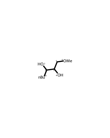 CCCCC(O)C(O)COC